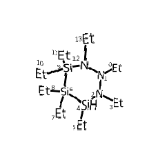 CCN1N(CC)[SiH](CC)[Si](CC)(CC)[Si](CC)(CC)N1CC